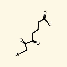 O=C(Cl)CCCC(=O)C(=O)CBr